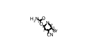 N#Cc1cc(OC(N)=O)ncc1Br